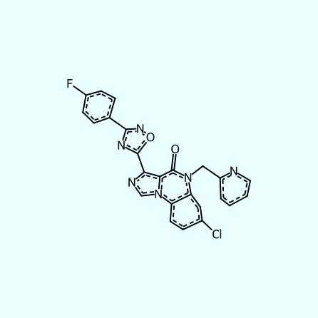 O=c1c2c(-c3nc(-c4ccc(F)cc4)no3)ncn2c2ccc(Cl)cc2n1Cc1ccccn1